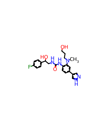 CN(CCCO)c1cc(-c2cn[nH]c2)ccc1NC(=O)NCC(O)c1ccc(F)cc1